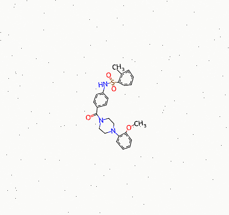 COc1ccccc1N1CCN(C(=O)c2ccc(NS(=O)(=O)c3ccccc3C)cc2)CC1